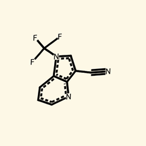 N#Cc1cn(C(F)(F)F)c2cccnc12